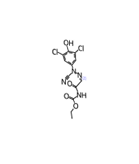 CCOC(=O)NC(=O)/C=N\N(C#N)c1cc(Cl)c(O)c(Cl)c1